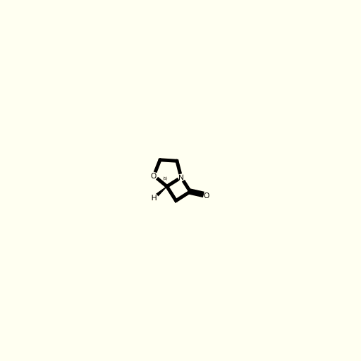 O=C1C[C@@H]2OCCN12